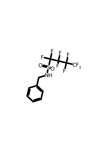 O=S(=O)(NCc1ccccc1)C(F)(F)C(F)(F)C(F)(F)C(F)(F)F